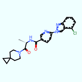 C[C@H](NC(=O)c1ccc(-n2cc3c(Cl)cccc3n2)nc1)C(=O)N1CCC2(CC1)CC2